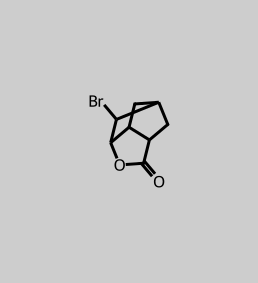 O=C1OC2C(Br)C3CC1C2C3